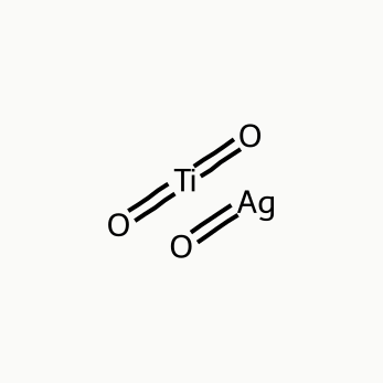 [O]=[Ag].[O]=[Ti]=[O]